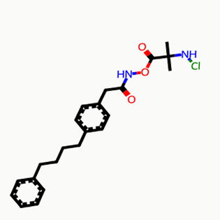 CC(C)(NCl)C(=O)ONC(=O)Cc1ccc(CCCCc2ccccc2)cc1